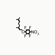 CC(C)=CCCC(C)=CCOc1c(F)c(F)c([N+](=O)[O-])c(F)c1F